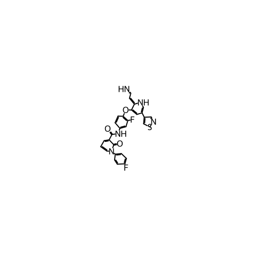 N=C/C=C1\NC=C(c2cnsc2)C=C1Oc1ccc(NC(=O)c2cccn(-c3ccc(F)cc3)c2=O)cc1F